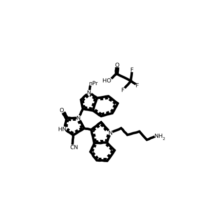 CCCn1cc(-n2c(-c3cn(CCCCN)c4ccccc34)c(C#N)[nH]c2=O)c2ccccc21.O=C(O)C(F)(F)F